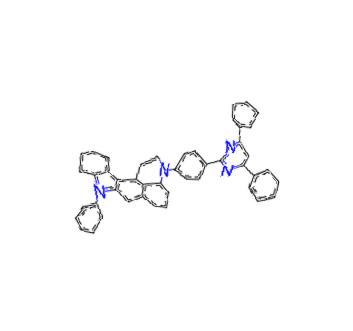 C1=CN(c2ccc(-c3nc(-c4ccccc4)cc(-c4ccccc4)n3)cc2)c2cccc3cc4c(c1c23)c1ccccc1n4-c1ccccc1